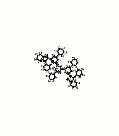 c1ccc(-c2cc(-c3cc(-c4cc(-c5ccccc5)cc(-c5nc6ccccn6c5-c5ccccc5)n4)nc(-c4ccccc4)n3)nc(-c3nc4ccccn4c3-c3ccccc3)c2)cc1